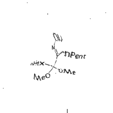 CCCCCCC(OC)(OC)C(CCCCC)=NO